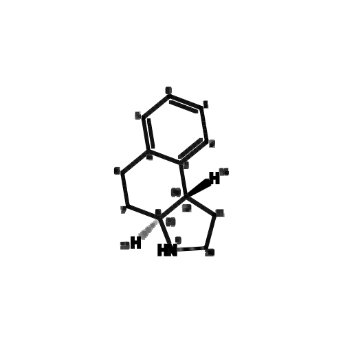 c1ccc2c(c1)CC[C@@H]1NCC[C@@H]21